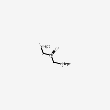 CCCCCCC[CH2][Pb](=[O])[CH2]CCCCCCC